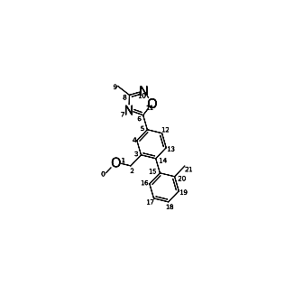 COCc1cc(-c2nc(C)no2)ccc1-c1ccccc1C